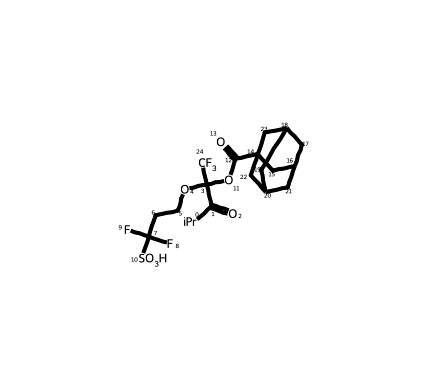 CC(C)C(=O)C(OCCC(F)(F)S(=O)(=O)O)(OC(=O)C12CC3CC(CC(C3)C1)C2)C(F)(F)F